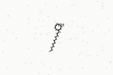 CCCCCCCCCCCCC1CCCCNCC1